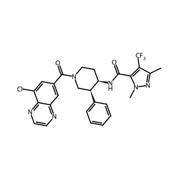 Cc1nn(C)c(C(=O)N[C@@H]2CCN(C(=O)c3cc(Cl)c4nccnc4c3)C[C@@H]2c2ccccc2)c1C(F)(F)F